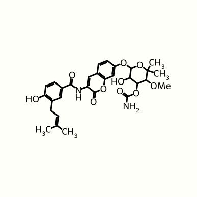 COC1C(OC(N)=O)C(O)C(Oc2ccc3cc(NC(=O)c4ccc(O)c(CC=C(C)C)c4)c(=O)oc3c2)OC1(C)C